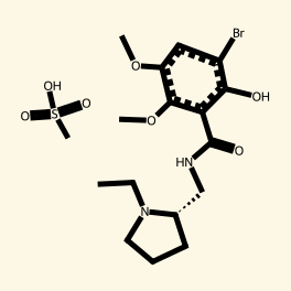 CCN1CCC[C@H]1CNC(=O)c1c(O)c(Br)cc(OC)c1OC.CS(=O)(=O)O